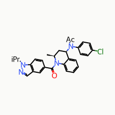 CC(=O)N(c1ccc(Cl)cc1)[C@@H]1C[C@H](C)N(C(=O)c2ccc3c(cnn3C(C)C)c2)c2ccccc21